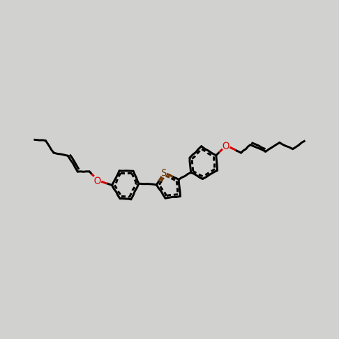 CCCC=CCOc1ccc(-c2ccc(-c3ccc(OCC=CCCC)cc3)s2)cc1